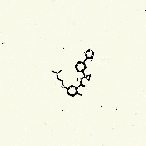 Cc1ccc(OCCN(C)C)cc1C(=O)NC1(c2cccc(-c3cccs3)c2)CC1